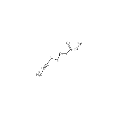 [2H]OC(=O)COCCC#CC